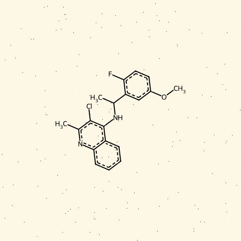 COc1ccc(F)c(C(C)Nc2c(Cl)c(C)nc3ccccc23)c1